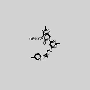 CCCCCOC(=O)N(Cc1nnc(C)s1)c1cc(OC[C@H]2C[C@@H]2c2ccc(C)cn2)nc(C)n1